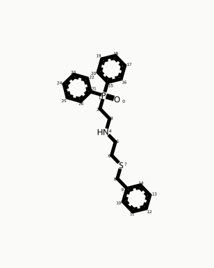 O=P(CCNCCSCc1ccccc1)(c1ccccc1)c1ccccc1